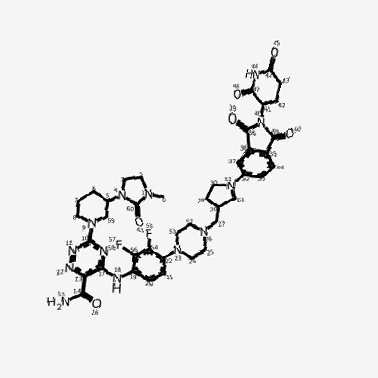 CN1CCN(C2CCCN(c3nnc(C(N)=O)c(Nc4ccc(N5CCN(CC6CCN(c7ccc8c(c7)C(=O)N(C7CCC(=O)NC7=O)C8=O)C6)CC5)c(F)c4F)n3)C2)C1=O